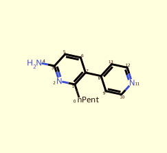 CCCCCc1nc(N)ccc1-c1ccncc1